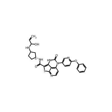 C=CC(O)NC1CC[C@@H](NC(=O)c2sc3nccc4c3c2NC(=O)N4c2ccc(Oc3ccccc3)nc2)C1